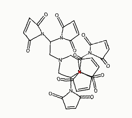 O=C1C=CC(=O)N1C(CN(CC(N1C(=O)C=CC1=O)N1C(=O)C=CC1=O)CC(N1C(=O)C=CC1=O)N1C(=O)C=CC1=O)N1C(=O)C=CC1=O